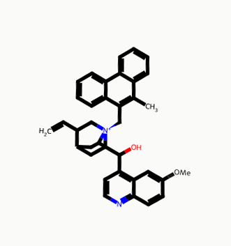 C=CC1C[N@+]2(Cc3c(C)c4ccccc4c4ccccc34)CCC1CC2C(O)c1ccnc2ccc(OC)cc12